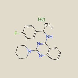 CC(Nc1nc(N2CCCCC2)nc2ccccc12)c1ccc(F)cc1.Cl